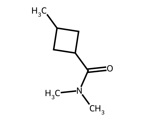 CC1CC(C(=O)N(C)C)C1